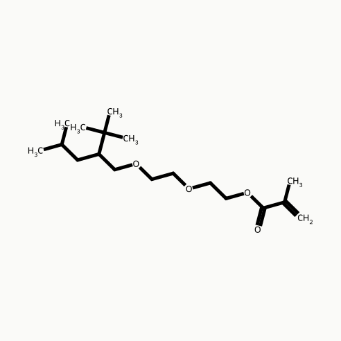 C=C(C)C(=O)OCCOCCOCC(CC(C)C)C(C)(C)C